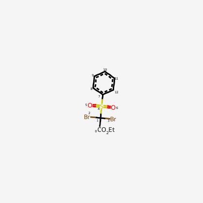 CCOC(=O)C(Br)(Br)S(=O)(=O)c1ccccc1